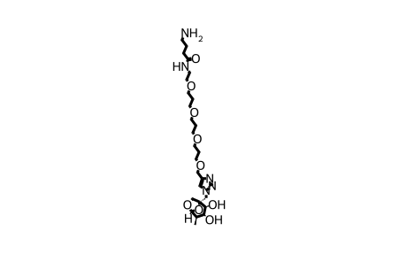 C[C@H]1[C@H]2OC[C@](Cn3cc(COCCCOCCCOCCCOCCNC(=O)CCCN)nn3)(O2)[C@H](O)[C@@H]1O